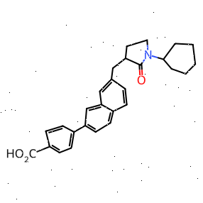 O=C(O)c1ccc(-c2ccc3ccc(CC4CCN(C5CCCCC5)C4=O)cc3c2)cc1